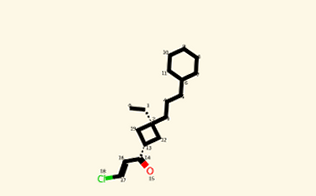 CC[C@]1(CCCC2CCCCC2)C[C@H](C(=O)C=CCl)C1